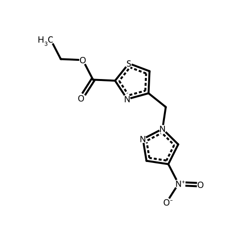 CCOC(=O)c1nc(Cn2cc([N+](=O)[O-])cn2)cs1